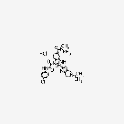 CC(C)N1CCc2nc(C(=O)N[C@@H]3C[C@@H](C(=O)N(C)C)CC[C@@H]3NC(=O)C(=O)Nc3ccc(Cl)cn3)sc2C1.Cl